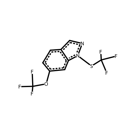 FC(F)(F)Oc1ccc2cnn(SC(F)(F)F)c2c1